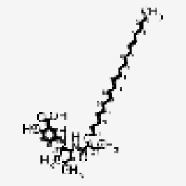 CCC=CCC=CCC=CCC=CCC=CCC=CCCCOC(CC)C(=O)NC(CC(C)C)C(=O)Nc1ccc(O)c(C(=O)O)c1